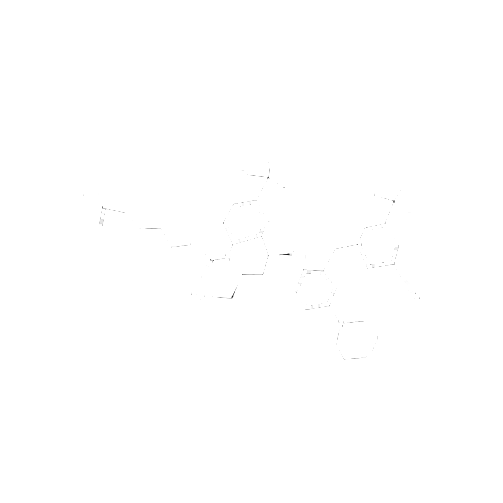 CC[C@@H]1C[C@H](Nc2ncc(N3CCOCC3)cc2Cc2cc(C#N)cc(C(F)(F)F)c2)c2nc(C(F)(F)F)ccc2N1C(=O)OCCCCC(=O)O